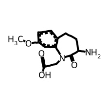 COc1ccc2c(c1)N(CC(=O)O)C(=O)C(N)CC2